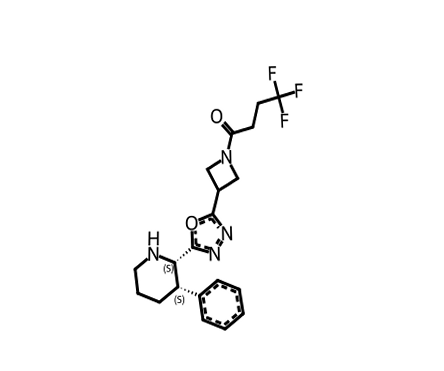 O=C(CCC(F)(F)F)N1CC(c2nnc([C@H]3NCCC[C@H]3c3ccccc3)o2)C1